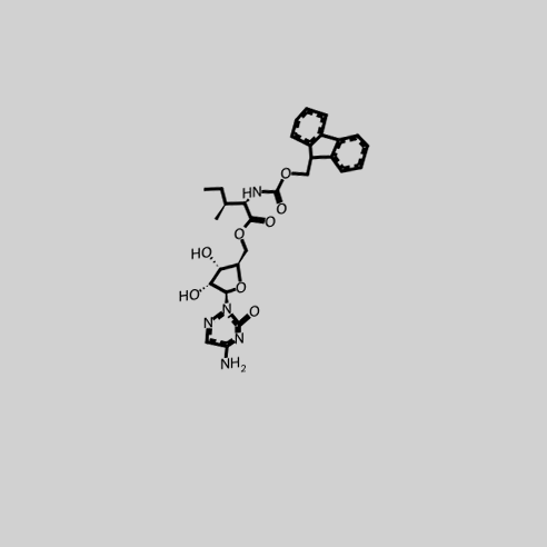 CC[C@H](C)[C@H](NC(=O)OCC1c2ccccc2-c2ccccc21)C(=O)OC[C@H]1O[C@@H](n2ncc(N)nc2=O)[C@H](O)[C@@H]1O